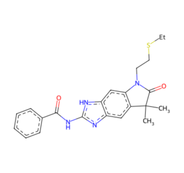 CCSCCN1C(=O)C(C)(C)c2cc3nc(NC(=O)c4ccccc4)[nH]c3cc21